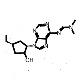 CC[C@@H]1CC(O)[C@H](n2cnc3c(/N=C/N(C)C)ncnc32)C1